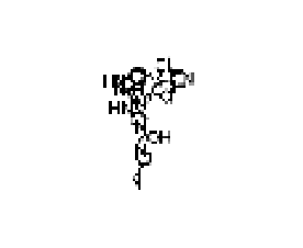 C[C@@H](Oc1ccc2[nH]nc(-c3nc4c([nH]3)CN(C(O)CN3CCC(C#N)C3)C4)c2c1)c1c(Cl)cncc1Cl